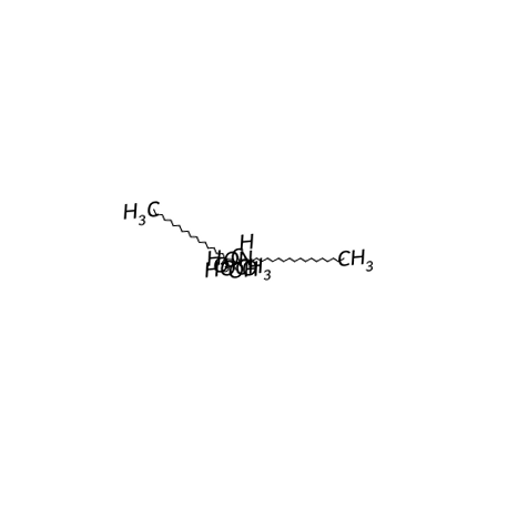 CCCCCCCCCCCCCCCCCC(=O)NC(C)(C)C(O)(O)OC(=O)CCCCCCCCCCCCCCCCC